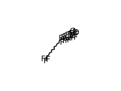 CO[Si](OC)(OC)C(F)(F)C(F)(F)C(F)(F)C(F)(F)C(F)(F)C(F)(F)C(F)(F)CCCCCCCCCCCC(F)(F)F